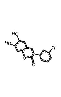 O=c1oc2cc(O)c(O)cc2cc1-c1cccc(Cl)c1